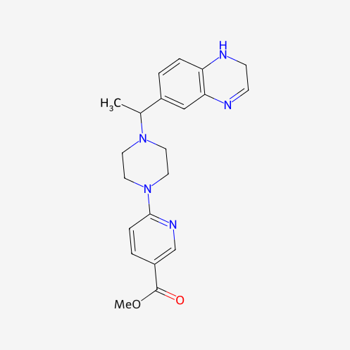 COC(=O)c1ccc(N2CCN(C(C)c3ccc4c(c3)N=CCN4)CC2)nc1